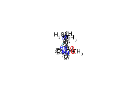 COC(=O)c1cnc(N(Cc2ccccc2)Cc2ccccc2)c2[nH]c(-c3ccc(-c4nc(C)c(C)n4C)cc3F)cc12